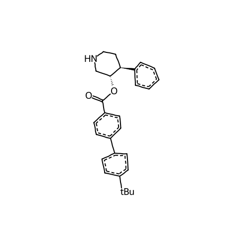 CC(C)(C)c1ccc(-c2ccc(C(=O)O[C@@H]3CNCC[C@H]3c3ccccc3)cc2)cc1